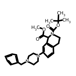 COC(=O)C1c2cc(N3CCN(Cc4ccccc4)CC3)ccc2CCN1C(=O)OC(C)(C)C